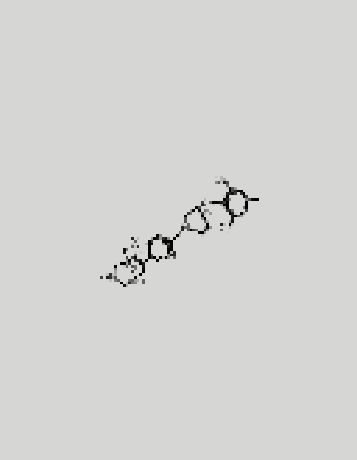 Cc1cc(Cl)c(O[C@@H]2CCN(c3ccc(C4=C(C(=O)O)[C@@H]5CNC[C@H](C4)N5)cn3)C2)c(Cl)c1